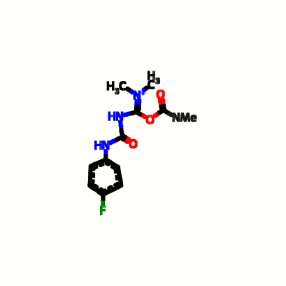 CNC(=O)OC(NC(=O)Nc1ccc(F)cc1)=[N+](C)C